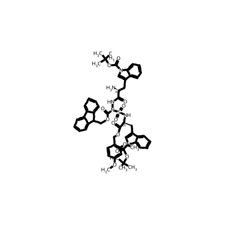 COc1ccc(COC(=O)[C@H](Cc2cn(C(=O)OC(C)(C)C)c3ccccc23)NS(=O)(=O)N(NC(=O)[C@H](N)Cc2cn(C(=O)OC(C)(C)C)c3ccccc23)C(=O)OCC2c3ccccc3-c3ccccc32)c(OC)c1